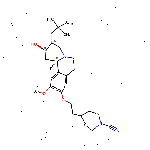 COc1cc2c(cc1OCCC1CCN(C#N)CC1)CCN1C[C@@H](CC(C)(C)C)[C@H](O)C[C@H]21